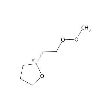 COOCC[C@H]1CCCO1